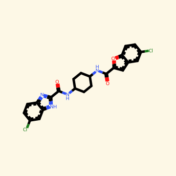 O=C(NC1CCC(NC(=O)c2cc3cc(Cl)ccc3o2)CC1)c1nc2ccc(Cl)cc2[nH]1